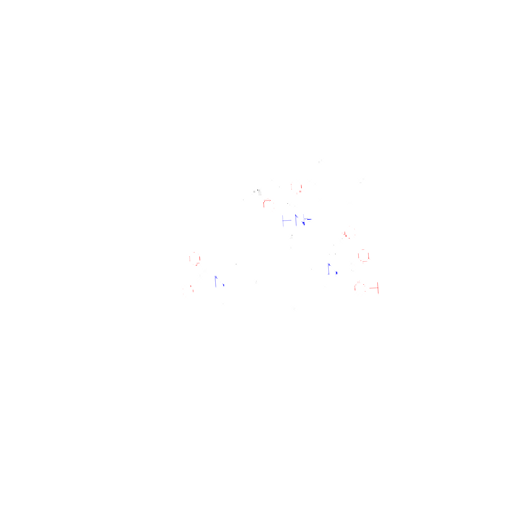 C=Cc1c(C2CCN(C(=O)OC)C2)ccc2c1CN(C(=O)O)C2C(=O)[C@@H](NC(=O)OC(C)(C)C)C1CCCCC1